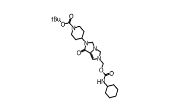 CC(C)(C)OC(=O)N1CCC(N2CN3CN(COC(=O)NC4CCCCC4)C=C3C2=O)CC1